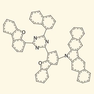 c1ccc2cc3c(cc2c1)c1cc2ccccc2cc1n3-c1cc(-c2nc(-c3cccc4ccccc34)nc(-c3cccc4c3oc3ccccc34)n2)c2oc3ccccc3c2c1